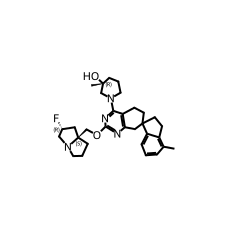 Cc1cccc2c1CCC21CCc2c(nc(OC[C@@]34CCCN3C[C@H](F)C4)nc2N2CCC[C@@](C)(O)C2)C1